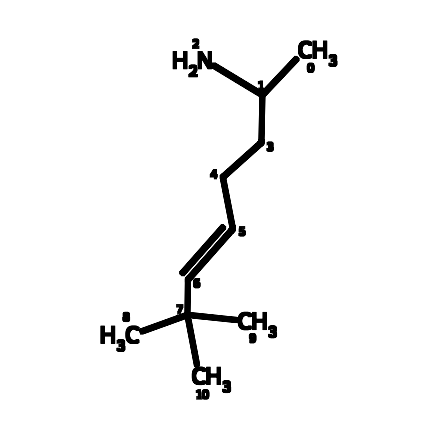 CC(N)CC/C=C/C(C)(C)C